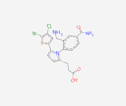 NCc1cc(C(N)=O)ccc1-n1c(CCC(=O)O)ccc1-c1cc(Cl)c(Br)s1